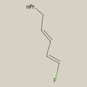 CCCCC=CC=CF